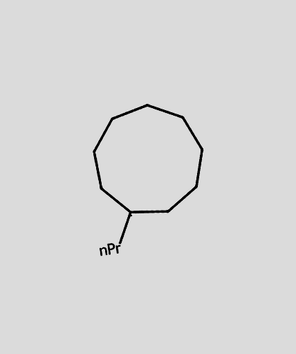 CCC[C]1CCCCCCCC1